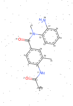 CCCC(=O)Nc1ccc(C(=O)N(C)c2ccccc2N)cc1C